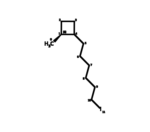 C[C@H]1CCC1CCCCCCI